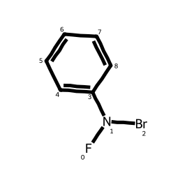 FN(Br)c1ccccc1